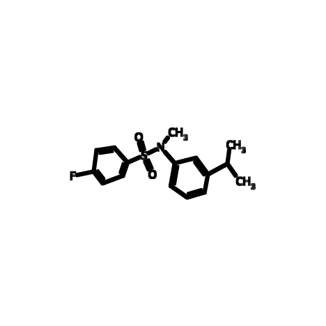 CC(C)c1cccc(N(C)S(=O)(=O)c2ccc(F)cc2)c1